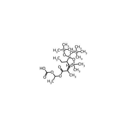 CCC(C=C(C)C(=O)OC(C)OC(=O)O)[Si](O[Si](C)(C)C)(O[Si](C)(C)C)O[Si](C)(C)C